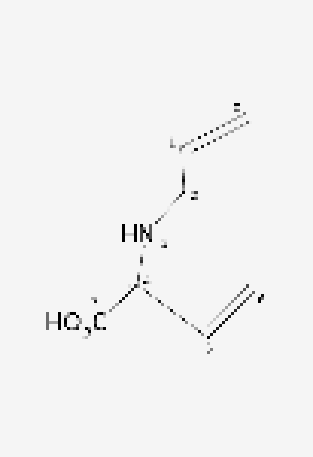 C=CCN[C](C=C)C(=O)O